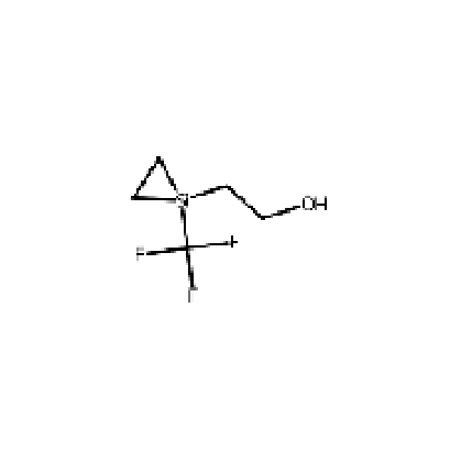 OCC[Si]1(C(F)(F)F)CC1